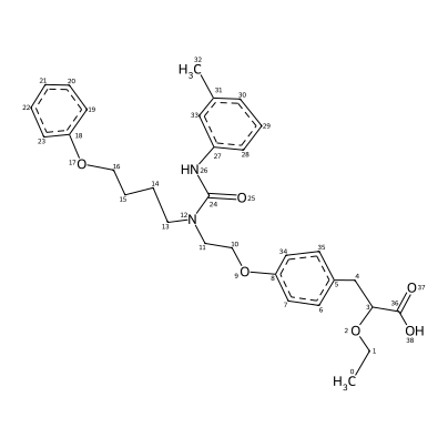 CCOC(Cc1ccc(OCCN(CCCCOc2ccccc2)C(=O)Nc2cccc(C)c2)cc1)C(=O)O